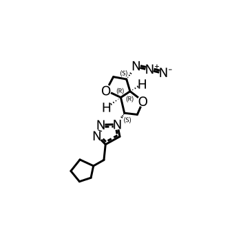 [N-]=[N+]=N[C@H]1CO[C@H]2[C@@H]1OC[C@@H]2n1cc(CC2CCCC2)nn1